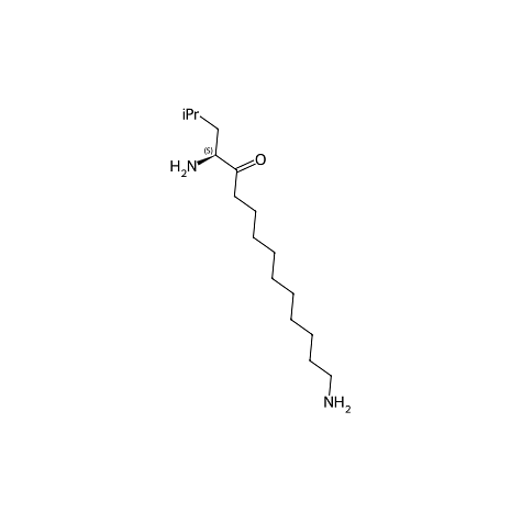 CC(C)C[C@H](N)C(=O)CCCCCCCCCCN